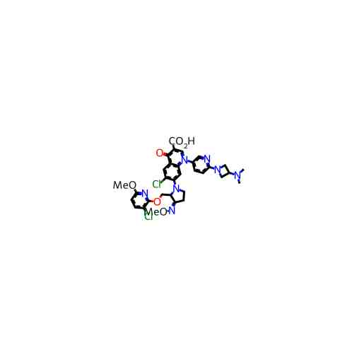 CO/N=C1/CCN(c2cc3c(cc2Cl)c(=O)c(C(=O)O)cn3-c2ccc(N3CC(N(C)C)C3)nc2)C1COc1nc(OC)ccc1Cl